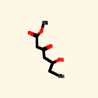 CC(C)(C)CC(O)CC(=O)CC(=O)OC#N